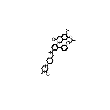 COc1cc2c(cc1OC(C)C)CN(c1ccc(N(C)CC3CCC(N4CCN(C)C(=O)C4)CC3)cc1-c1cccc(Cl)c1)C(=O)C2